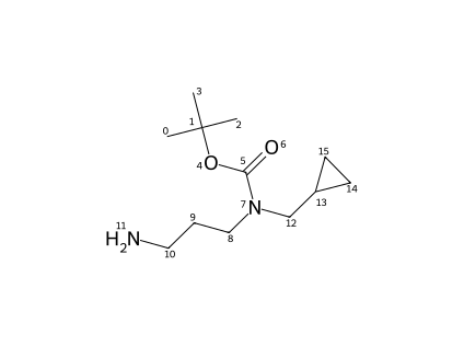 CC(C)(C)OC(=O)N(CCCN)CC1CC1